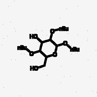 CCCCOC1OC(CO)C(OCCCC)C(O)C1OCCCC